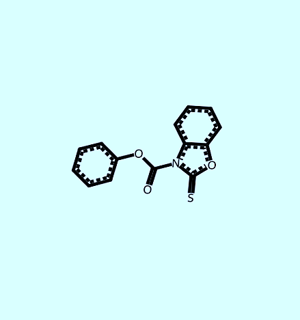 O=C(Oc1ccccc1)n1c(=S)oc2ccccc21